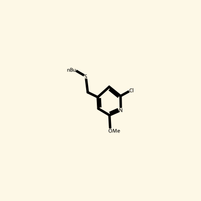 CCCCSCc1cc(Cl)nc(OC)c1